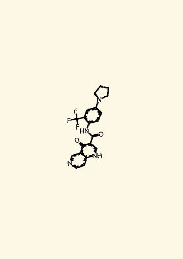 O=C(Nc1ccc(N2CCCC2)cc1C(F)(F)F)c1c[nH]c2ccncc2c1=O